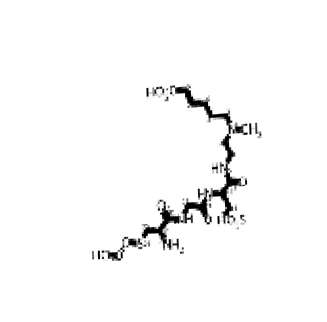 CN(CCCCCC(=O)O)CCNC(=O)C(CS(=O)(=O)O)NC(=O)CNC(=O)C(N)CSOOO